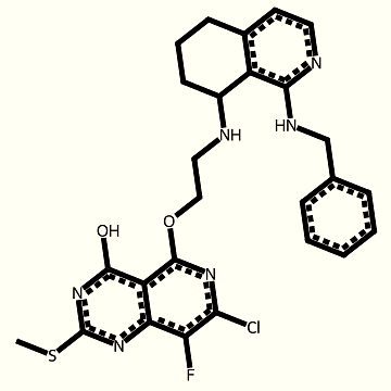 CSc1nc(O)c2c(OCCNC3CCCc4ccnc(NCc5ccccc5)c43)nc(Cl)c(F)c2n1